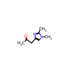 CC(=O)Cc1cn(C)c(C)n1